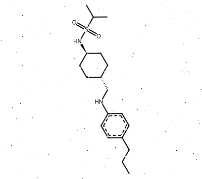 CCCc1ccc(NC[C@H]2CC[C@H](NS(=O)(=O)C(C)C)CC2)cc1